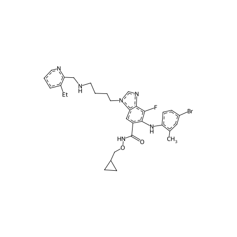 CCc1cccnc1CNCCCCn1cnc2c(F)c(Nc3ccc(Br)cc3C)c(C(=O)NOCC3CC3)cc21